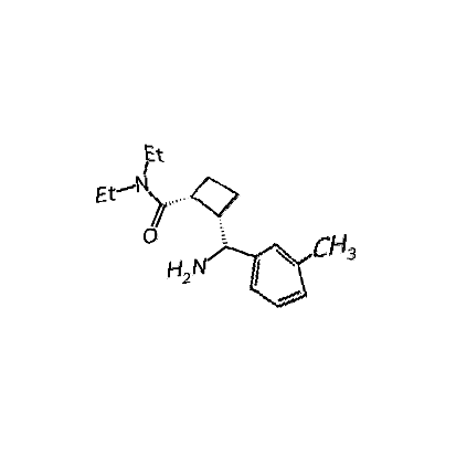 CCN(CC)C(=O)[C@@H]1CC[C@@H]1C(N)c1cccc(C)c1